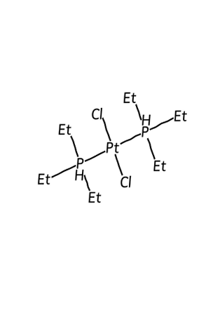 CC[PH](CC)(CC)[Pt]([Cl])([Cl])[PH](CC)(CC)CC